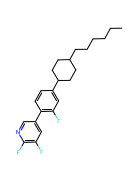 CCCCCCC1CCC(c2ccc(-c3cnc(F)c(F)c3)c(F)c2)CC1